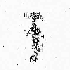 Cc1cc(NC(=O)NCCN2CCOCC2)ccc1Oc1ccnc2c1c(C(F)(F)F)cn2COCCS(C)(C)C